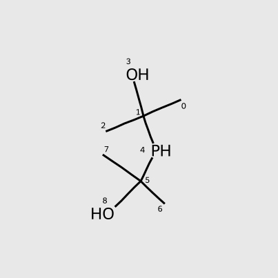 CC(C)(O)PC(C)(C)O